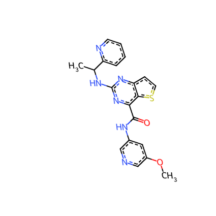 COc1cncc(NC(=O)c2nc(NC(C)c3ccccn3)nc3ccsc23)c1